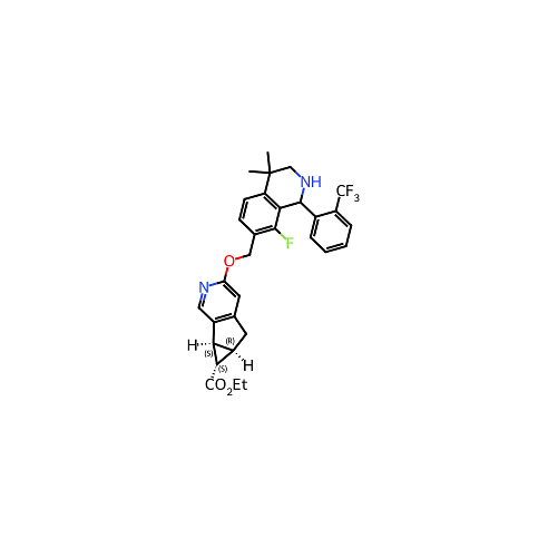 CCOC(=O)[C@H]1[C@@H]2Cc3cc(OCc4ccc5c(c4F)C(c4ccccc4C(F)(F)F)NCC5(C)C)ncc3[C@@H]21